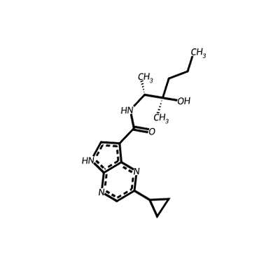 CCC[C@@](C)(O)[C@@H](C)NC(=O)c1c[nH]c2ncc(C3CC3)nc12